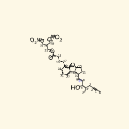 CC#CCC(C)C(O)/C=C/C1CCC2Oc3c(CCCC(=O)OCC(CO[N+](=O)[O-])CO[N+](=O)[O-])cccc3C12